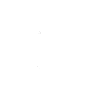 CN1CC=C(c2ccc(Cl)cn2)CC1